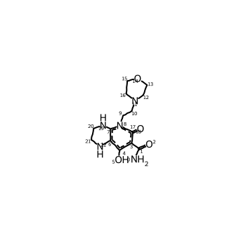 NC(=O)c1c(O)c2c(n(CCN3CCOCC3)c1=O)NCCN2